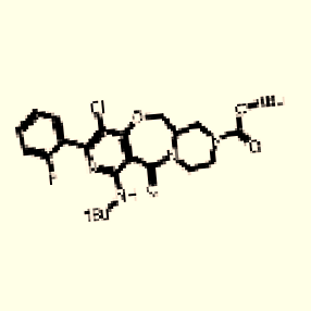 CC(C)(C)Nc1nc(-c2ccccc2F)c(Cl)c2c1C(=O)N1CCN(C(=O)OC(C)(C)C)CC1CO2